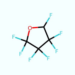 FC1OC(F)(F)C(F)(F)C1(F)F